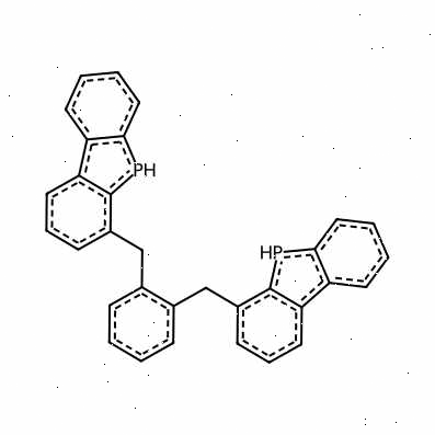 c1ccc(Cc2cccc3c2[pH]c2ccccc23)c(Cc2cccc3c2[pH]c2ccccc23)c1